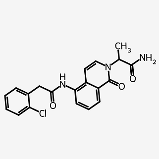 CC(C(N)=O)n1ccc2c(NC(=O)Cc3ccccc3Cl)cccc2c1=O